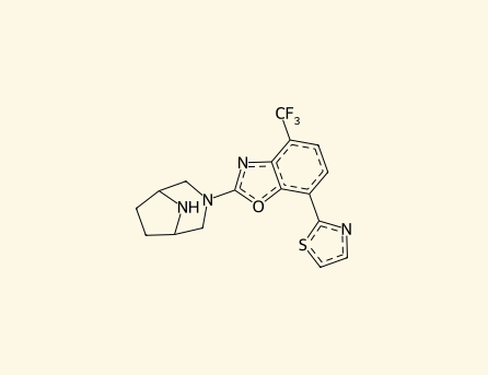 FC(F)(F)c1ccc(-c2nccs2)c2oc(N3CC4CCC(C3)N4)nc12